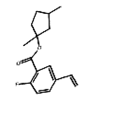 C=Cc1ccc(F)c(C(=O)OC2(C)CCC(C)C2)c1